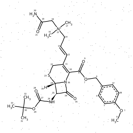 COc1ccc(COC(=O)C2=C(/C=C/C[N+](C)(C)CC(N)=O)CS[C@H]3[C@H](NC(=O)OC(C)(C)C)C(=O)N23)cc1